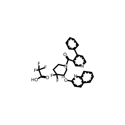 O=C(O)C(F)(F)F.O=C(c1cnccc1-c1ccccc1)N1CCC(F)(F)[C@@H](Oc2ccc3ccccc3n2)C1